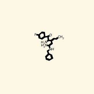 C=C/C=C(\C=C(/N)NCc1ccccc1)C(N)C(=O)c1ccc(F)cc1